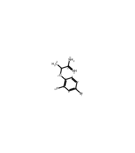 CC(Oc1ccc(Br)cc1F)C(=N)N